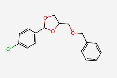 Clc1ccc(C2OCC(COCc3ccccc3)O2)cc1